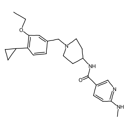 CCOc1cc(CN2CCC(NC(=O)c3ccc(NC)nc3)CC2)ccc1C1CC1